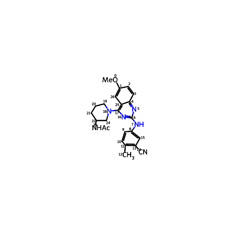 COc1ccc2nc(Nc3ccc(C)c(C#N)c3)nc(N3CCCC(NC(C)=O)C3)c2c1